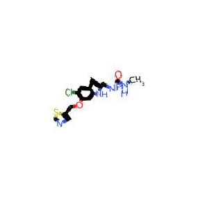 CNC(=O)NCc1cc2cc(Cl)c(OCc3cncs3)cc2[nH]1